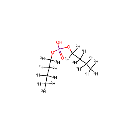 [2H]C([2H])([2H])C([2H])([2H])C([2H])([2H])C([2H])([2H])OP(=O)(O)OC([2H])([2H])C([2H])([2H])C([2H])([2H])C([2H])([2H])[2H]